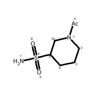 CC(=O)N1CCCC(S(N)(=O)=O)C1